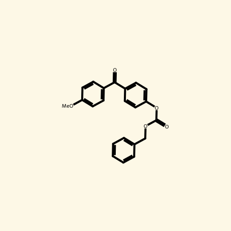 COc1ccc(C(=O)c2ccc(OC(=O)OCc3ccccc3)cc2)cc1